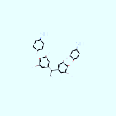 CCC(c1cc(Br)c(Oc2ccc(N)cc2)c(Br)c1)c1cc(Br)c(Oc2ccc(N)cc2)c(Br)c1